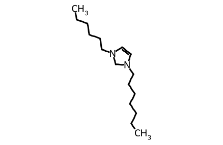 CCCCCCCN1C=CN(CCCCCC)C1